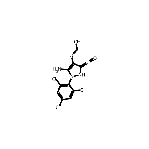 CCOC1=C(N)N(c2c(Cl)cc(Cl)cc2Cl)NC1=C=O